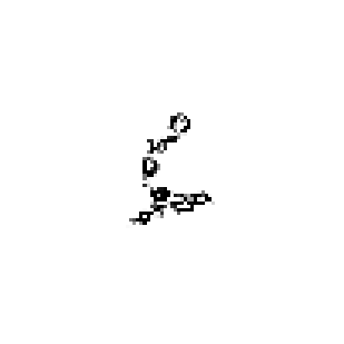 O=C(OCCN1CCOCC1)N1CCC(Oc2ccc([C@H]3c4[nH]c5c(c4CCN3C(=O)Oc3ccc(Cl)cc3)=CC(Cl)CC=5)cc2)CC1